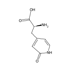 N[C@@H](Cc1cc[nH]c(=O)c1)C(=O)O